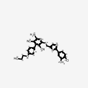 Cc1cc(-c2nc(CSc3nc(N)c(C#N)c(-c4ccc(OCCO)cc4)c3C#N)co2)ccc1Cl